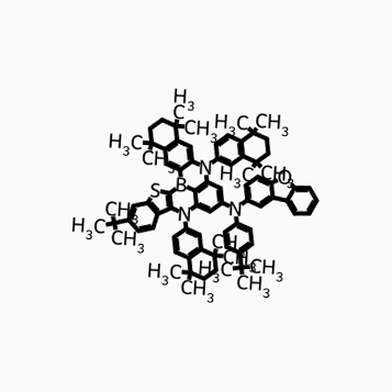 CC(C)(C)c1ccc(N(c2cc3c4c(c2)N(c2ccc5c(c2)C(C)(C)CCC5(C)C)c2c(sc5cc(C(C)(C)C)ccc25)B4c2cc4c(cc2N3c2ccc3c(c2)C(C)(C)CCC3(C)C)C(C)(C)CCC4(C)C)c2ccc3oc4ccccc4c3c2)cc1